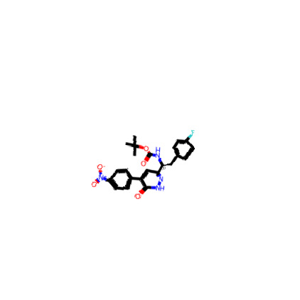 CC(C)(C)OC(=O)N[C@@H](Cc1ccc(F)cc1)c1cc(-c2ccc([N+](=O)[O-])cc2)c(=O)[nH]n1